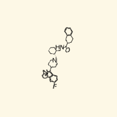 O=C(NC[C@@H]1CCCC[C@H]1CN1CCC(c2noc3cc(F)ccc23)CC1)C1CCc2ccccc2C1